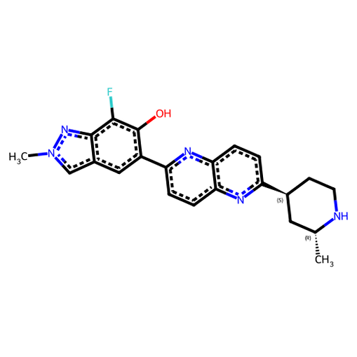 C[C@@H]1C[C@@H](c2ccc3nc(-c4cc5cn(C)nc5c(F)c4O)ccc3n2)CCN1